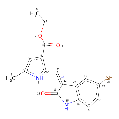 CCOC(=O)c1cc(C)[nH]c1/C=C1\C(=O)Nc2ccc(S)cc21